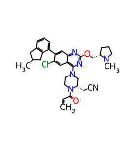 C=CC(=O)N1CCN(c2nc(OC[C@@H]3CCCN3C)nc3cc(-c4cccc5c4CC(C)C5)c(Cl)cc23)C[C@@H]1CC#N